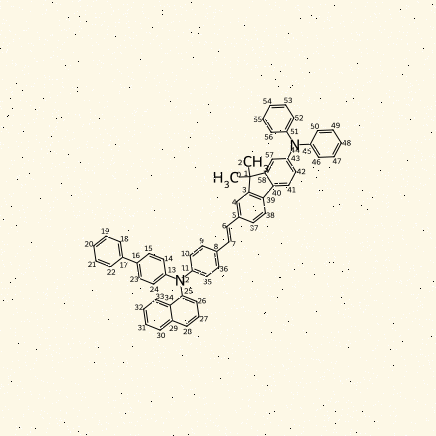 CC1(C)c2cc(/C=C/c3ccc(N(c4ccc(-c5ccccc5)cc4)c4cccc5ccccc45)cc3)ccc2-c2ccc(N(c3ccccc3)c3ccccc3)cc21